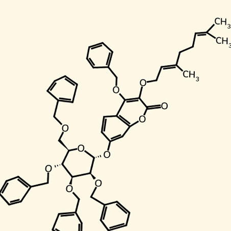 CC(C)=CCC/C(C)=C/COc1c(OCc2ccccc2)c2ccc(O[C@H]3O[C@H](COCc4ccccc4)[C@@H](OCc4ccccc4)[C@H](OCc4ccccc4)[C@@H]3OCc3ccccc3)cc2oc1=O